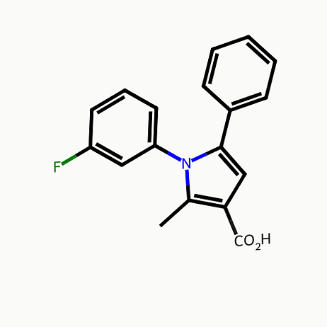 Cc1c(C(=O)O)cc(-c2ccccc2)n1-c1cccc(F)c1